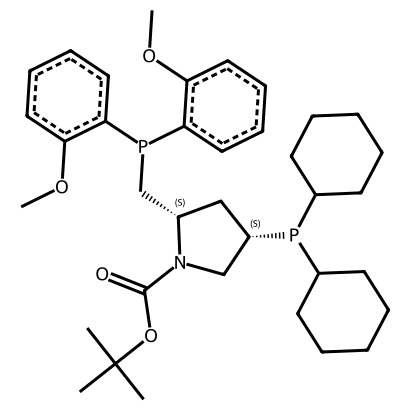 COc1ccccc1P(C[C@@H]1C[C@H](P(C2CCCCC2)C2CCCCC2)CN1C(=O)OC(C)(C)C)c1ccccc1OC